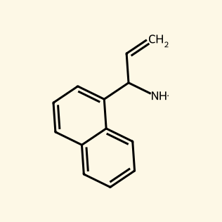 C=CC([NH])c1cccc2ccccc12